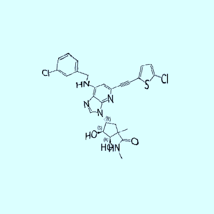 CNC(=O)C1(C)C[C@@H](n2cnc3c(NCc4cccc(Cl)c4)cc(C#Cc4ccc(Cl)s4)nc32)[C@H](O)[C@@H]1O